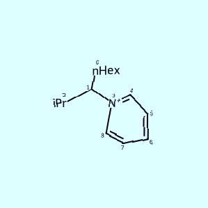 CCCCCCC(C(C)C)[n+]1ccccc1